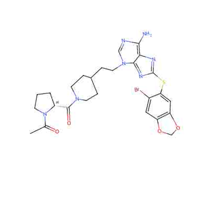 CC(=O)N1CCC[C@@H]1C(=O)N1CCC(CCn2cnc(N)c3nc(Sc4cc5c(cc4Br)OCO5)nc2-3)CC1